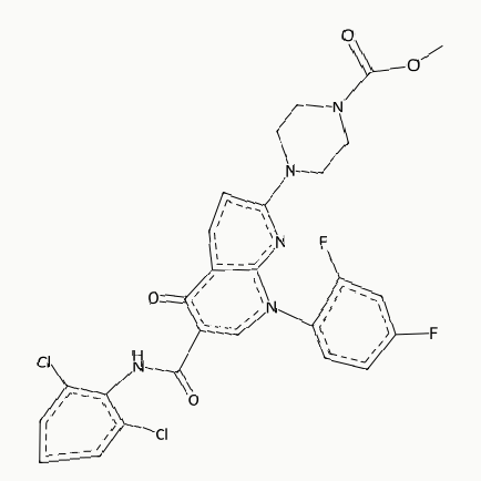 COC(=O)N1CCN(c2ccc3c(=O)c(C(=O)Nc4c(Cl)cccc4Cl)cn(-c4ccc(F)cc4F)c3n2)CC1